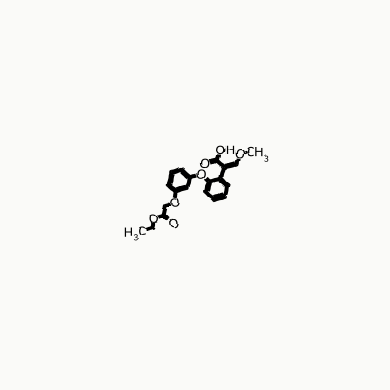 CCOC(=O)COc1cccc(Oc2ccccc2C(=COC)C(=O)O)c1